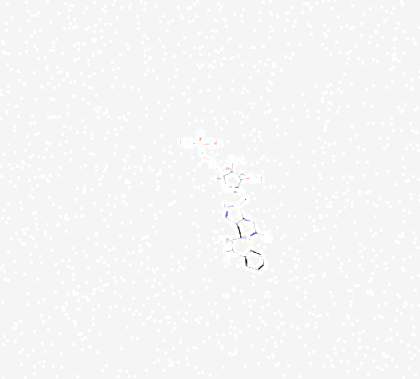 C[C@H](Nc1nc(Cl)nc2c1cnn2C[C@H]1O[C@H](COCP(=O)(O)O)[C@@H](O)[C@H]1O)c1ccccc1